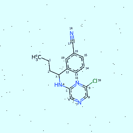 CCCC(Nc1cncc(Cl)n1)c1cccc(C#N)c1